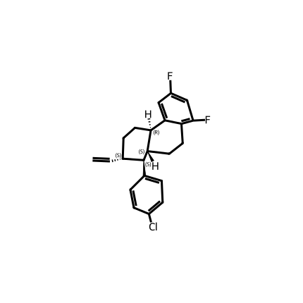 C=C[C@@H]1CC[C@H]2c3cc(F)cc(F)c3CC[C@@H]2[C@H]1c1ccc(Cl)cc1